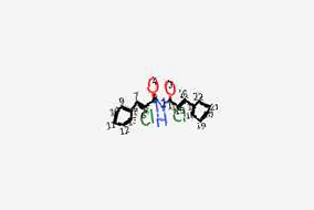 O=C(NC(=O)C(Cl)=Cc1ccccc1)C(Cl)=Cc1ccccc1